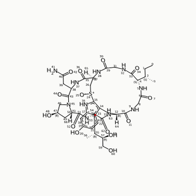 CC[C@H](C)[C@@H]1NC(=O)CNC(=O)[C@H]2Cc3c([nH]c4cc(O)ccc34)[S+]([O-])C[C@H](NC(=O)CNC1=O)C(=O)NC(CC(N)=O)C(=O)N1C[C@H](O)C[C@H]1C(=O)N[C@@H]([C@@H](C)[C@@H](O)CO)C(=O)N2